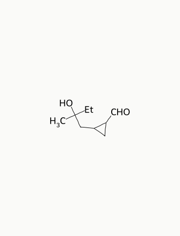 CCC(C)(O)CC1CC1C=O